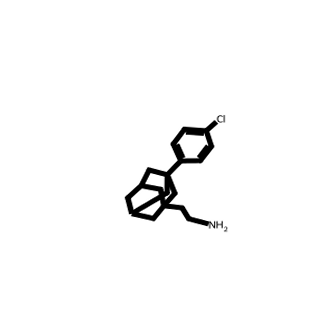 NCCC12CC3CC(C1)CC(c1ccc(Cl)cc1)(C3)C2